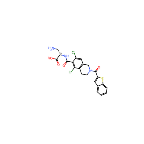 NC[C@H](NC(=O)c1c(Cl)cc2c(c1Cl)CCN(C(=O)c1cc3ccccc3s1)C2)C(=O)O